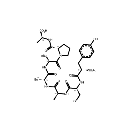 CCCC[C@H](NC(=O)[C@@H](NC(=O)[C@H](C)NC(=O)[C@H](CC(C)C)NC(=O)[C@H](Cc1ccc(O)cc1)NC(C)=O)[C@@H](C)CC)C(=O)N1CCC[C@H]1C(=O)N[C@@H](C)C(=O)O